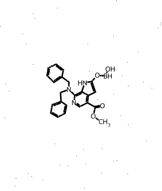 COC(=O)c1cnc(N(Cc2ccccc2)Cc2ccccc2)c2[nH]c(OBO)cc12